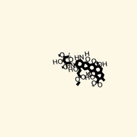 CCOC(=O)CCC1(O)C(N[C@H]2O[C@@H](C)[C@H](OC)[C@@H](O)[C@H]2OC)=CC(=N)c2c1cc1c(c2O)C(=O)[C@]2(OC)[C@H](O)Cc3cc(C)c(C(=O)OC)c(O)c3[C@]2(O)C1=O